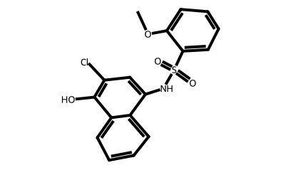 COc1ccccc1S(=O)(=O)Nc1cc(Cl)c(O)c2ccccc12